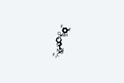 O=C(Nc1cc(F)cc(F)c1)N1CCc2sc(-c3noc(C(F)(F)F)n3)cc2C1